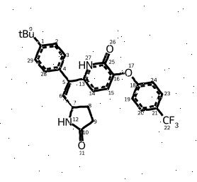 CC(C)(C)c1ccc(C(=C[C@H]2CCC(=O)N2)c2ccc(Oc3ccc(C(F)(F)F)cc3)c(=O)[nH]2)cc1